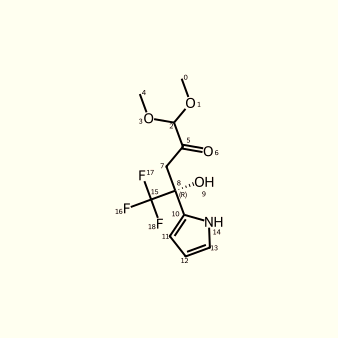 COC(OC)C(=O)C[C@@](O)(c1ccc[nH]1)C(F)(F)F